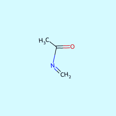 C=NC(C)=O